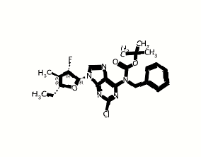 CC[C@H]1O[C@@H](n2cnc3c(N(Cc4ccccc4)C(=O)OC(C)(C)C)nc(Cl)nc32)[C@@H](F)[C@@H]1C